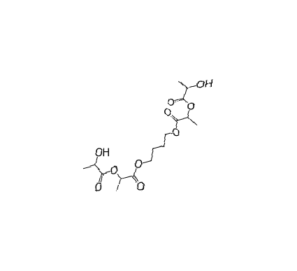 CC(O)C(=O)OC(C)C(=O)OCCCCOC(=O)C(C)OC(=O)C(C)O